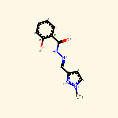 Cn1ccc(C=NNC(=O)c2ccccc2O)n1